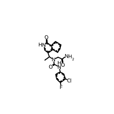 CC(c1c[nH]c(=O)c2ccccc12)N(CC(N)=O)C(=O)Nc1ccc(F)c(Cl)c1